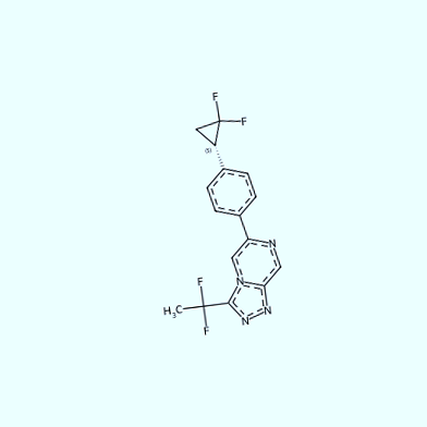 CC(F)(F)c1nnc2cnc(-c3ccc([C@@H]4CC4(F)F)cc3)cn12